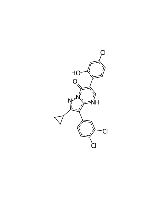 O=c1c(-c2ccc(Cl)cc2O)c[nH]c2c(-c3ccc(Cl)c(Cl)c3)c(C3CC3)nn12